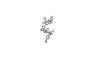 CNc1ncc2cc(-c3ccc(F)c(NC(=O)Nc4cc(C(C)C)nn4-c4ccc(C#N)cc4)c3)c(=O)n(C3CCCC3)c2n1